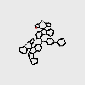 c1ccc(-c2ccc(N(c3ccc4c(c3)C3(c5ccccc5Oc5ccccc53)c3ccc5ccccc5c3-4)c3cccc4c3-c3ccccc3C43c4ccccc4Oc4ccccc43)cc2)cc1